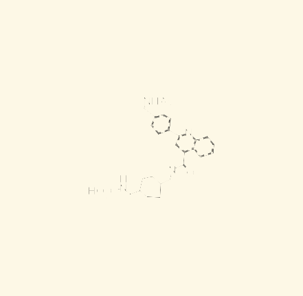 CC(=O)NCc1ccc(-c2cc(C(=O)NCC3CCC(CNC(=O)O)CC3)c3ccccc3n2)cc1